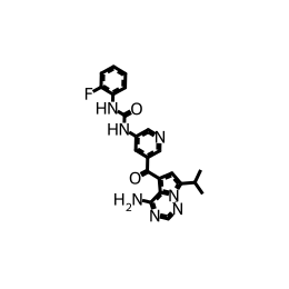 CC(C)c1cc(C(=O)c2cncc(NC(=O)Nc3ccccc3F)c2)c2c(N)ncnn12